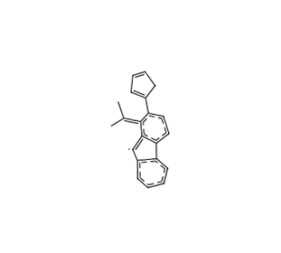 CC(C)=c1c(C2=CC=CC2)ccc2c1=[C]c1ccccc1-2